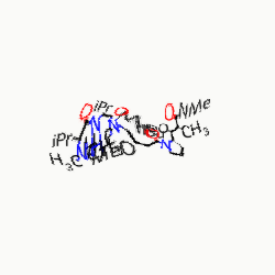 CC[C@H](C)[C@@H]([C@@H](CC(=O)N1CCC[C@H]1[C@H](OC)[C@@H](C)C(=O)NC)OC)N(C)C(=O)[C@@H](NC(=O)[C@H](C(C)C)N(C)C)C(C)C